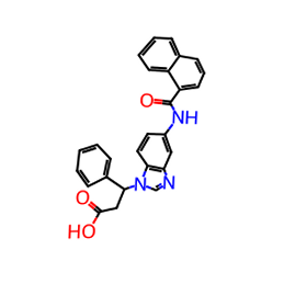 O=C(O)CC(c1ccccc1)n1cnc2cc(NC(=O)c3cccc4ccccc34)ccc21